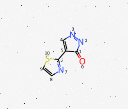 O=C1N=NC=C1c1nccs1